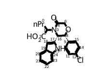 CCCC(C(=O)O)N1C(=O)CO[C@H](c2ccc(Cl)cc2)[C@@H]1c1cc2ccccc2[nH]1